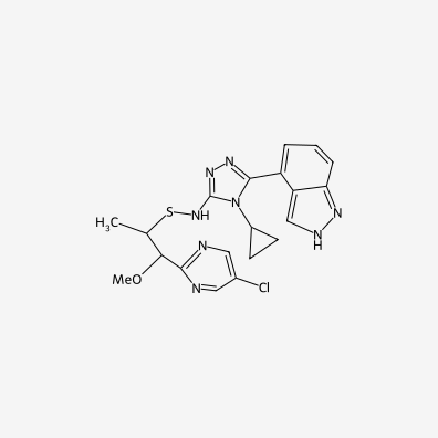 COC(c1ncc(Cl)cn1)C(C)SNc1nnc(-c2cccc3n[nH]cc23)n1C1CC1